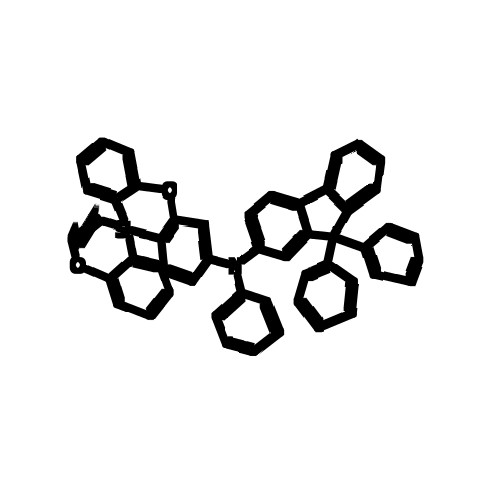 c1ccc(N(c2ccc3c(c2)Oc2ccccc2[Si]32c3ccccc3Oc3ccccc32)c2ccc3c(c2)C(c2ccccc2)(c2ccccc2)c2ccccc2-3)cc1